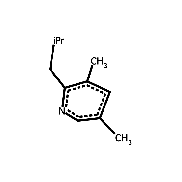 Cc1cnc(CC(C)C)c(C)c1